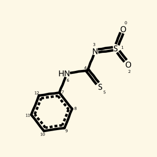 O=S(=O)=NC(=S)Nc1ccccc1